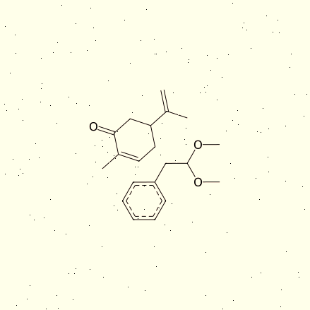 C=C(C)C1CC=C(C)C(=O)C1.COC(Cc1ccccc1)OC